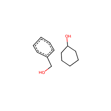 OC1CCCCC1.OCc1ccccc1